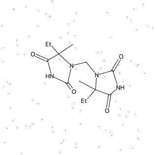 CCC1(C)C(=O)NC(=O)N1CN1C(=O)NC(=O)C1(C)CC